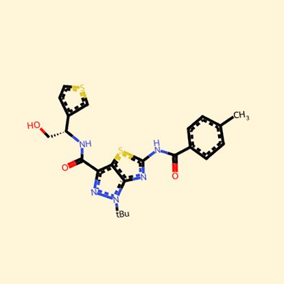 Cc1ccc(C(=O)Nc2nc3c(s2)c(C(=O)N[C@H](CO)c2ccsc2)nn3C(C)(C)C)cc1